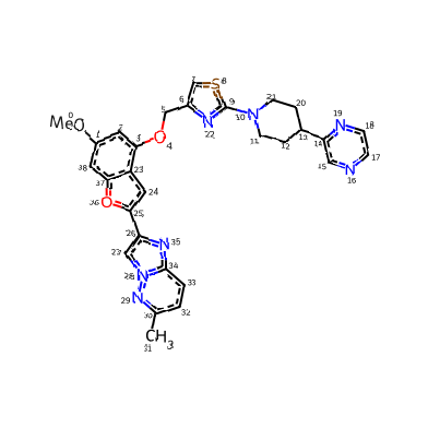 COc1cc(OCc2csc(N3CCC(c4cnccn4)CC3)n2)c2cc(-c3cn4nc(C)ccc4n3)oc2c1